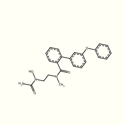 CN(CCN(O)C(N)=O)C(=O)c1ccccc1-c1cccc(Oc2ccccc2)c1